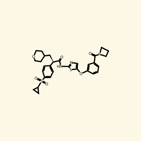 O=C(Nc1ncc(Oc2cccc(C(=O)N3CCC3)c2)s1)[C@H](CC1CCOCC1)c1ccc(S(=O)(=O)C2CC2)cc1